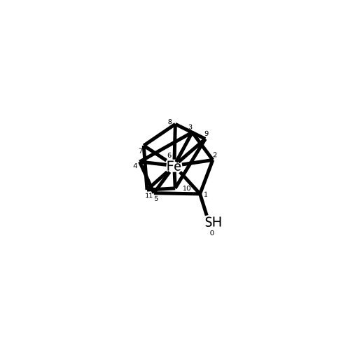 S[C]12[CH]3[CH]4[CH]5[CH]1[Fe]45321678[CH]2[CH]1[CH]6[CH]7[CH]28